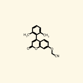 Cc1cccc(C)c1-c1cc(=O)oc2cc(OCC#N)ccc12